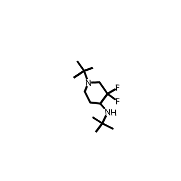 CC(C)(C)NC1CCN(C(C)(C)C)CC1(F)F